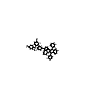 CC12C3=CC=CC1C(c1ccc([PH](O)(c4ccc(F)cc4)c4ccc(F)cc4)cc1)=CC=C2c1c3c(-c2ccccc2)c2ccccc2c1-c1ccccc1